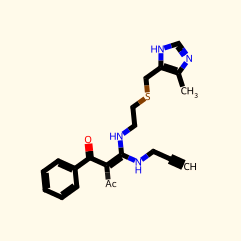 C#CCN/C(NCCSCc1[nH]cnc1C)=C(\C(C)=O)C(=O)c1ccccc1